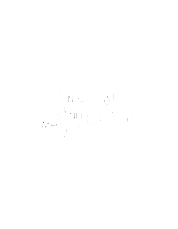 COC(=O)[C@H](Cc1ccc(C(=O)Oc2c(Cl)cccc2Cl)cc1)NC(=O)[C@H]1CSCN1C(C)=O